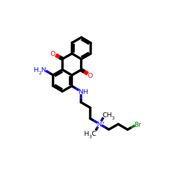 C[N+](C)(CCCBr)CCCNc1ccc(N)c2c1C(=O)c1ccccc1C2=O